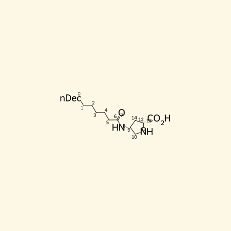 CCCCCCCCCCCCCCCC(=O)N[C@H]1CN[C@@H](C(=O)O)C1